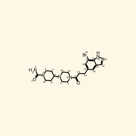 NC(=O)N1CCC(N2CCN(C(=O)[CH]Cc3cc(Br)c4[nH]ncc4c3)CC2)CC1